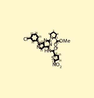 COC(=O)[C@@H]1CCCN1c1nc(NC(=O)c2ccc([N+](=O)[O-])s2)c2cnn(-c3cccc(Cl)c3)c2n1